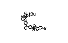 CC(C)(C)OC(=O)NCC(=O)N1CCC(C(=O)c2ccc(S(=O)(=O)c3ccc4cc(Br)ccc4c3)cc2)CC1